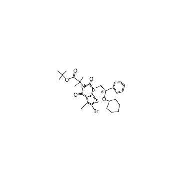 Cc1c(Br)sc2c1c(=O)n(C(C)(C)C(=O)OC(C)(C)C)c(=O)n2C[C@H](OC1CCCCC1)c1ccccc1